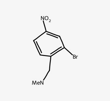 CNCc1ccc([N+](=O)[O-])cc1Br